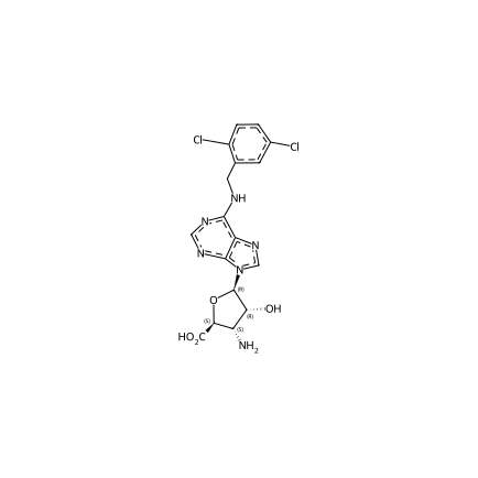 N[C@H]1[C@@H](O)[C@H](n2cnc3c(NCc4cc(Cl)ccc4Cl)ncnc32)O[C@@H]1C(=O)O